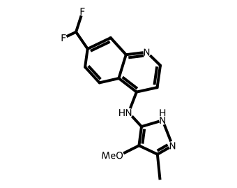 COc1c(C)n[nH]c1Nc1ccnc2cc(C(F)F)ccc12